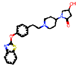 O=C1CC(O)CN1C1CCN(CCc2ccc(Oc3nc4ccccc4s3)cc2)CC1